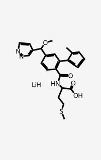 COC(c1ccnnc1)c1ccc(C(=O)NC(CCSC)C(=O)O)c(-c2ccccc2C)c1.[LiH]